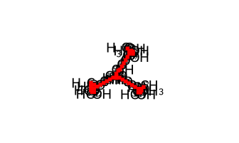 CC(=O)NC1C(OCCOCCOCCNC(=O)CCC(CCC(=O)NCCOCCOCCOC2OC(CO)C(O)C(O)C2NC(C)=O)(CCC(=O)NCCOCCOCCOC2OC(CO)C(O)C(O)C2NC(C)=O)NI)OC(CO)C(O)C1O